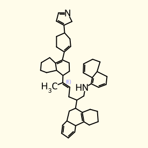 C/C(=C\CC(CNC1=C2C=CCCC2CC=C1)C1CC2C=CC=CC2C2=C1CCCC2)C1CCC(C2=CCC(C3=CC=NC3)CC2)=C2CCCCC21